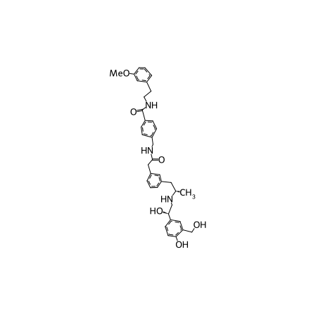 COc1cccc(CCNC(=O)c2ccc(CNC(=O)Cc3cccc(C[C@@H](C)NC[C@H](O)c4ccc(O)c(CO)c4)c3)cc2)c1